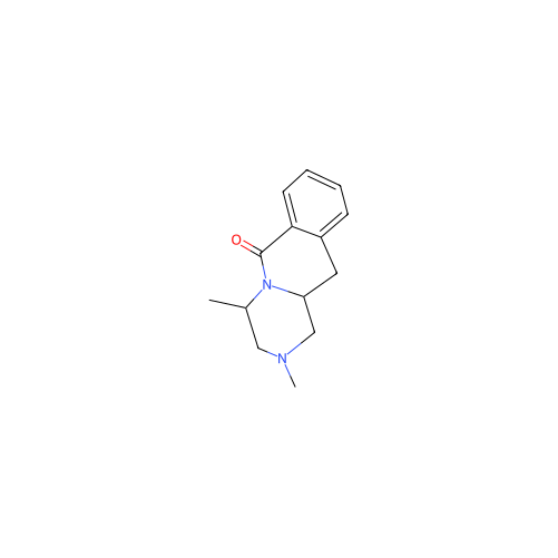 CC1CN(C)CC2Cc3ccccc3C(=O)N12